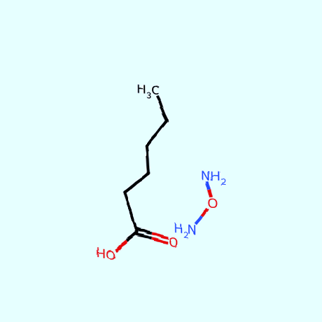 CCCCCC(=O)O.NON